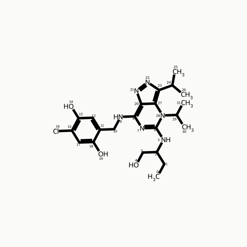 CCC(CO)Nc1nc(NCc2cc(O)c(Cl)cc2O)c2nnc(C(C)C)c-2n1C(C)C